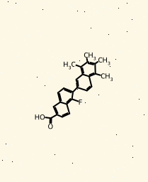 Cc1c(C)c(C)c2cc(-c3ccc4cc(C(=O)O)ccc4c3F)ccc2c1C